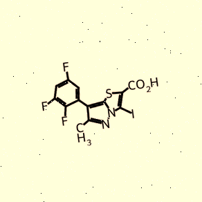 Cc1nn2c(I)c(C(=O)O)sc2c1-c1cc(F)cc(F)c1F